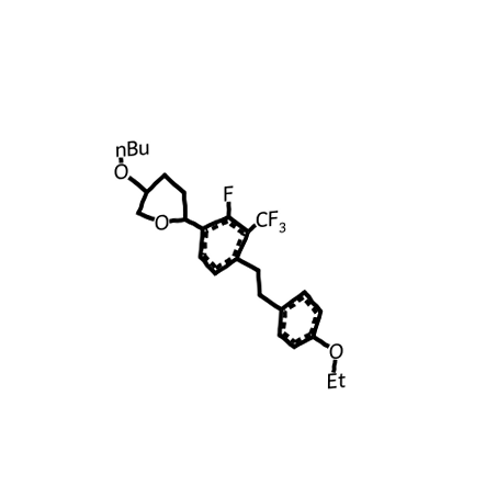 CCCCOC1CCC(c2ccc(CCc3ccc(OCC)cc3)c(C(F)(F)F)c2F)OC1